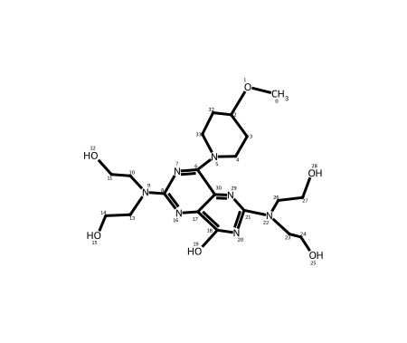 COC1CCN(c2nc(N(CCO)CCO)nc3c(O)nc(N(CCO)CCO)nc23)CC1